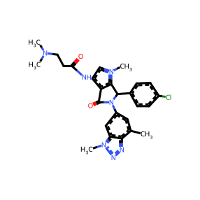 Cc1cc(N2C(=O)c3c(NC(=O)CCN(C)C)cn(C)c3C2c2ccc(Cl)cc2)cc2c1nnn2C